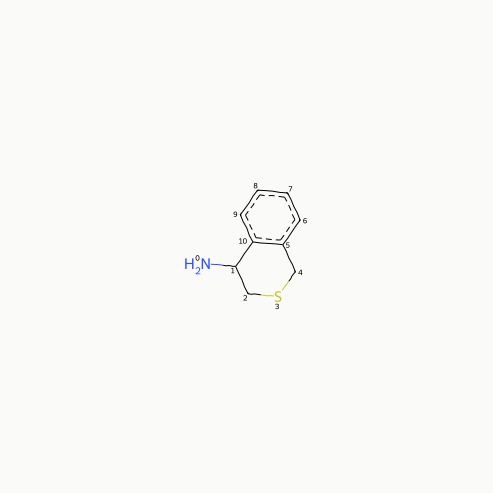 NC1CSCc2ccccc21